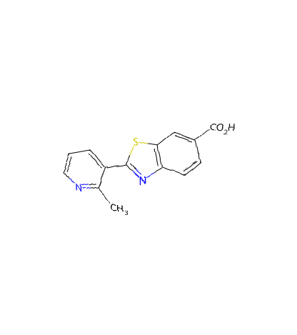 Cc1ncccc1-c1nc2ccc(C(=O)O)cc2s1